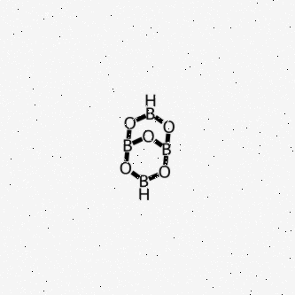 B1OB2OBOB(O1)O2